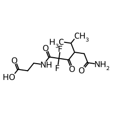 CC(C)C(CC(N)=O)C(=O)C(F)(F)C(=O)NCCC(=O)O